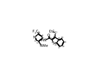 CCSc1c(C(=O)Nc2cc(C(F)(F)F)ncc2NC)sc2ccccc12